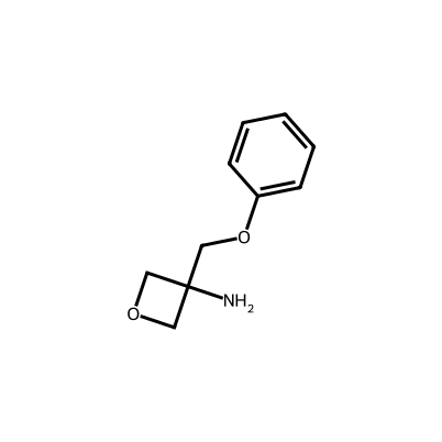 NC1(COc2ccccc2)COC1